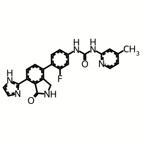 Cc1ccnc(NC(=O)Nc2ccc(-c3ccc(-c4ncc[nH]4)c4c3CNC4=O)c(F)c2)c1